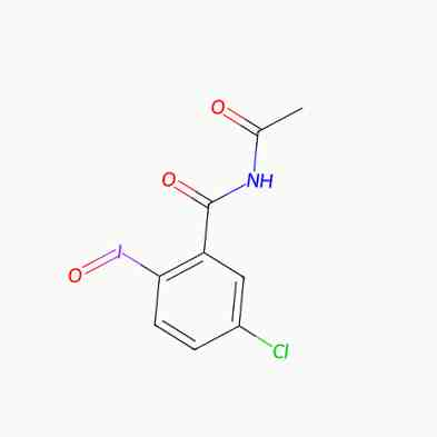 CC(=O)NC(=O)c1cc(Cl)ccc1I=O